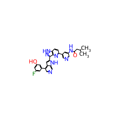 CC(C)CC(=O)Nc1cncc(-c2ccc3[nH]nc(-c4cc5c(-c6cc(O)cc(F)c6)cncc5[nH]4)c3n2)c1